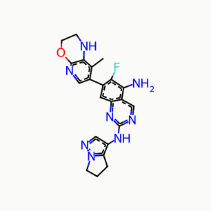 Cc1c(-c2cc3nc(Nc4cnn5c4CCC5)ncc3c(N)c2F)cnc2c1NCCO2